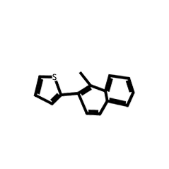 Cc1c(-c2cccs2)ccc2ccccc12